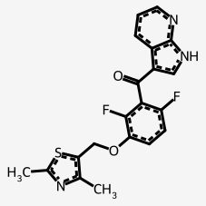 Cc1nc(C)c(COc2ccc(F)c(C(=O)c3c[nH]c4ncccc34)c2F)s1